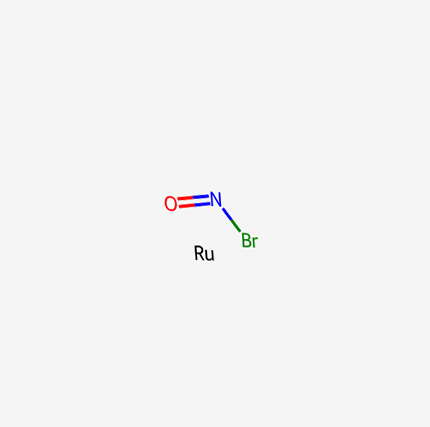 O=NBr.[Ru]